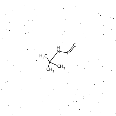 CC(C)(C)NP=O